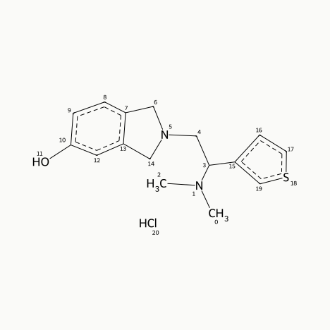 CN(C)C(CN1Cc2ccc(O)cc2C1)c1ccsc1.Cl